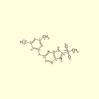 Cc1cc(C)cc(Cc2ccc3nc(S(C)(=O)=O)sc3c2)c1